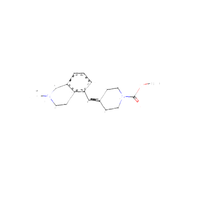 CC(C)(C)OC(=O)N1CCC(=Cc2cccc3c2CCN(C(=O)O)C3)CC1